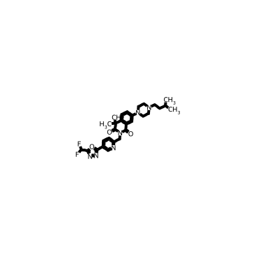 CC(C)CCN1CCN(c2ccc3c(c2)C(=O)N(Cc2ccc(-c4nnc(C(F)F)o4)cn2)C(=O)C3(C)C)CC1